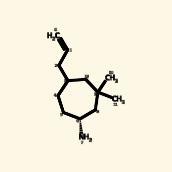 C=CCC1CC[C@@H](N)CC(C)(C)C1